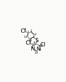 Clc1ccc(Sc2c(Cl)ncnc2Cl)cc1